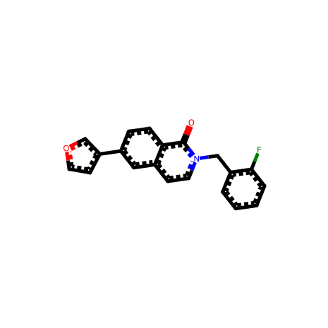 O=c1c2ccc(-c3ccoc3)cc2ccn1Cc1ccccc1F